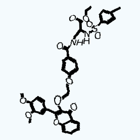 CCOC(=O)C(CNC(=O)c1ccc(OCCOc2c(-c3ccc(OC)c(OC)c3)oc3ccccc3c2=O)cc1)NS(=O)(=O)c1ccc(C)cc1